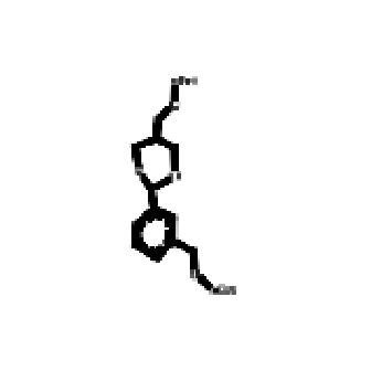 CCCCCCCCOCc1cccc(C2OCC(COCCCCCCCC)CO2)c1